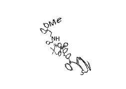 COC(=O)CCNC(=O)[C@@H]1O[P@@](=O)(OCOC(=O)c2cncs2)OCC1(C)C